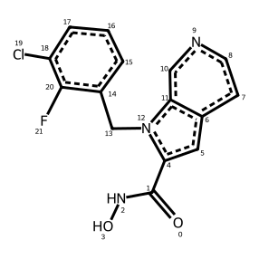 O=C(NO)c1cc2ccncc2n1Cc1cccc(Cl)c1F